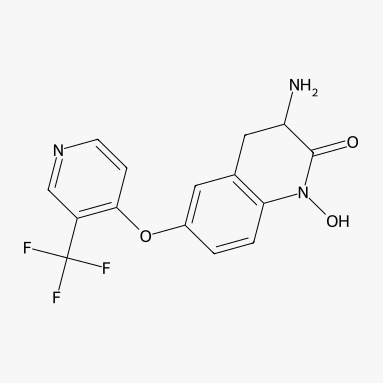 NC1Cc2cc(Oc3ccncc3C(F)(F)F)ccc2N(O)C1=O